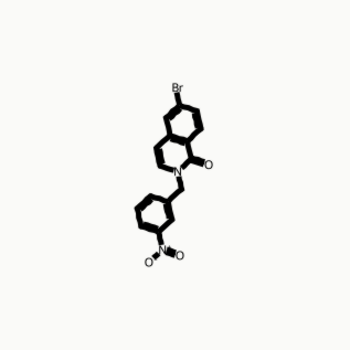 O=c1c2ccc(Br)cc2ccn1Cc1cccc([N+](=O)[O-])c1